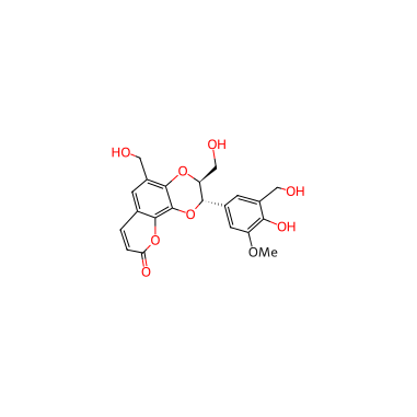 COc1cc([C@@H]2Oc3c(c(CO)cc4ccc(=O)oc34)O[C@H]2CO)cc(CO)c1O